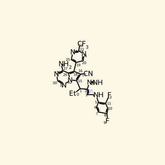 CCC(/C(=C/Nc1ccc(F)cc1F)N=N)c1c(C#N)c(-c2cnc(C(F)(F)F)nc2)c2c(N)ncnn12